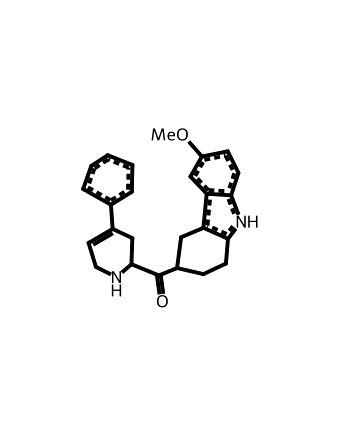 COc1ccc2[nH]c3c(c2c1)CC(C(=O)C1CC(c2ccccc2)=CCN1)CC3